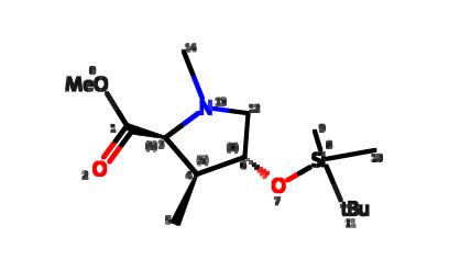 COC(=O)[C@@H]1[C@H](C)[C@@H](O[Si](C)(C)C(C)(C)C)CN1C